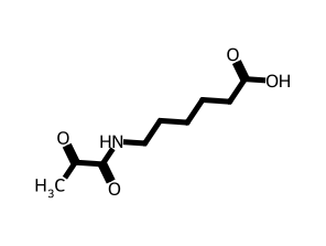 CC(=O)C(=O)NCCCCCC(=O)O